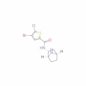 O=C(N[C@@H]1C[C@H]2CC[C@@H]1N2)c1cc(Br)c(Cl)s1